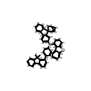 CC1(C)c2ccccc2-c2cccc(-c3ccc(N(c4ccc5c(c4)C4(CC6CCC4C6)c4ccccc4-5)c4cccc5oc6ccccc6c45)cc3)c21